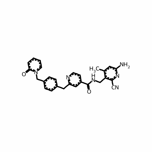 Cc1cc(N)nc(C#N)c1CNC(=O)c1ccnc(Cc2ccc(Cn3ccccc3=O)cc2)c1